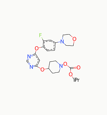 CC(C)OC(=O)ON1CCC(Oc2cc(Oc3ccc(N4CCOCC4)cc3F)ncn2)CC1